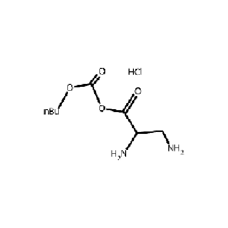 CCCCOC(=O)OC(=O)C(N)CN.Cl